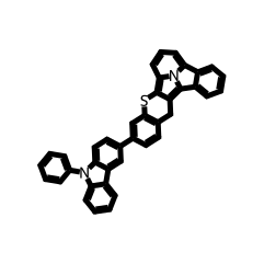 c1ccc(-n2c3ccccc3c3cc(-c4ccc5c(c4)Sc4c(c6c7ccccc7c7cccc4n76)C5)ccc32)cc1